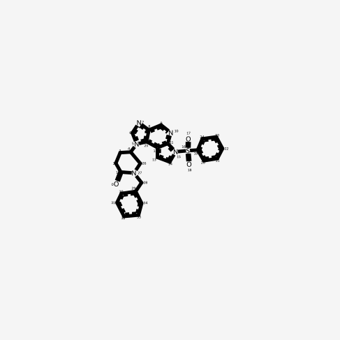 O=C1CCC(n2cnc3cnc4c(ccn4S(=O)(=O)c4ccccc4)c32)CN1Cc1ccccc1